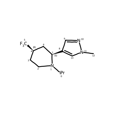 CC(C)N1CC[C@@H](C(F)(F)F)C[C@H]1c1cnn(C)c1